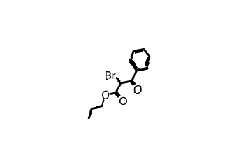 CCCOC(=O)C(Br)C(=O)c1ccccc1